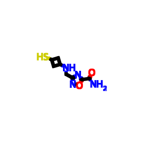 NC(=O)c1nc(CNC2CC(S)C2)no1